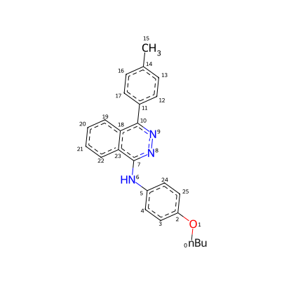 CCCCOc1ccc(Nc2nnc(-c3ccc(C)cc3)c3ccccc23)cc1